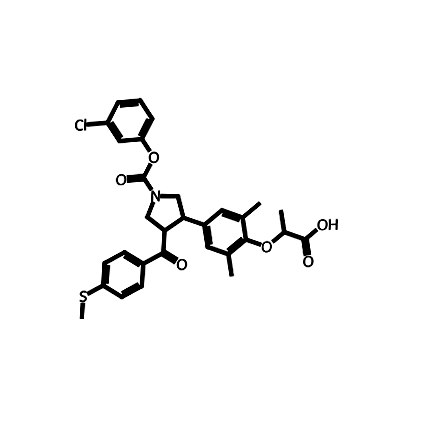 CSc1ccc(C(=O)C2CN(C(=O)Oc3cccc(Cl)c3)CC2c2cc(C)c(OC(C)C(=O)O)c(C)c2)cc1